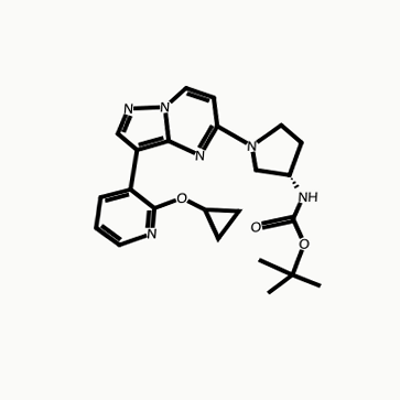 CC(C)(C)OC(=O)N[C@H]1CCN(c2ccn3ncc(-c4cccnc4OC4CC4)c3n2)C1